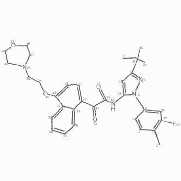 Cc1ccc(-n2nc(C(C)(C)C)cc2NC(=O)C(=O)c2ccc(OCCN3CCOCC3)c3ccccc23)cc1F